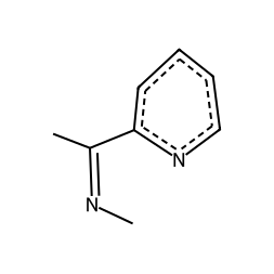 C/N=C(/C)c1ccccn1